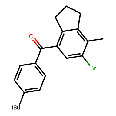 CCC(C)c1ccc(C(=O)c2cc(Br)c(C)c3c2CCC3)cc1